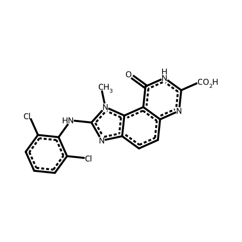 Cn1c(Nc2c(Cl)cccc2Cl)nc2ccc3nc(C(=O)O)[nH]c(=O)c3c21